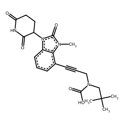 Cn1c(=O)n(C2CCC(=O)NC2=O)c2cccc(C#CCN(CC(C)(C)C)C(=O)O)c21